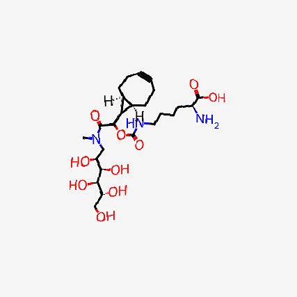 CN(C[C@H](O)[C@@H](O)[C@H](O)[C@H](O)CO)C(=O)C(OC(=O)NCCCC[C@H](N)C(=O)O)C1[C@H]2CCC#CCC[C@@H]12